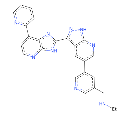 CCNCc1cncc(-c2cnc3[nH]nc(-c4nc5c(-c6ccccn6)ccnc5[nH]4)c3c2)c1